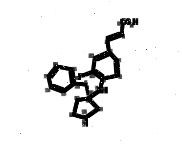 O=C(O)C=Cc1ccc(N[C@]2(Cc3ccccc3)CCNC2)c(F)c1